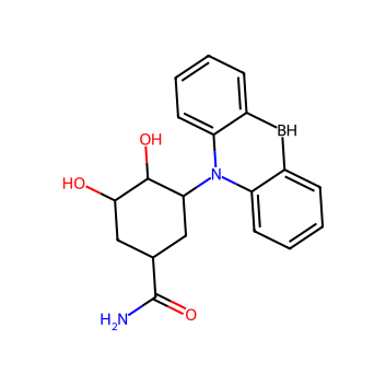 NC(=O)C1CC(O)C(O)C(N2c3ccccc3Bc3ccccc32)C1